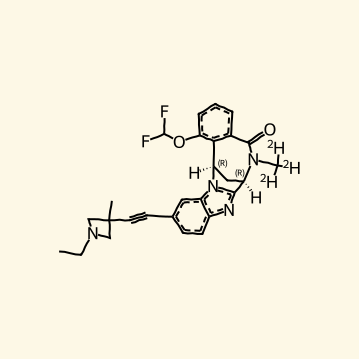 [2H]C([2H])([2H])N1C(=O)c2cccc(OC(F)F)c2[C@H]2C[C@@H]1c1nc3ccc(C#CC4(C)CN(CC)C4)cc3n12